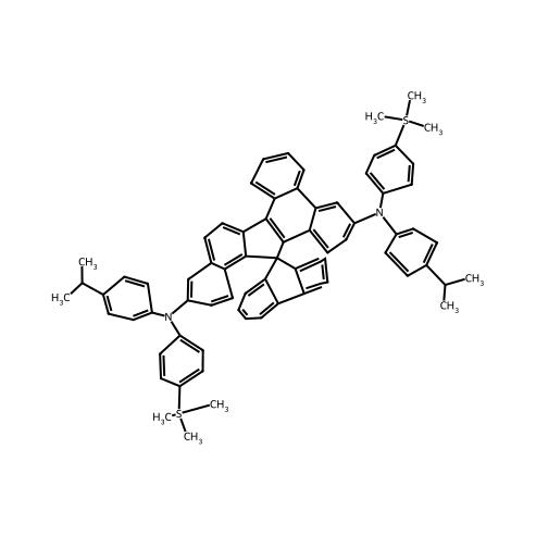 CC(C)c1ccc(N(c2ccc(S(C)(C)C)cc2)c2ccc3c4c(ccc3c2)-c2c(c3ccc(N(c5ccc(C(C)C)cc5)c5ccc(S(C)(C)C)cc5)cc3c3ccccc23)C42c3ccccc3-c3ccccc32)cc1